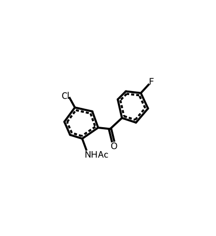 CC(=O)Nc1ccc(Cl)cc1C(=O)c1ccc(F)cc1